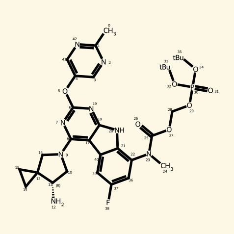 Cc1ncc(Oc2nc(N3C[C@H](N)C4(CC4)C3)c3c(n2)[nH]c2c(N(C)C(=O)OCOP(=O)(OC(C)(C)C)OC(C)(C)C)cc(F)cc23)cn1